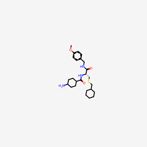 COc1ccc(CNC(=O)[C@H](CSCC2CCCCC2)NC(=O)C2CCC(N)CC2)cc1